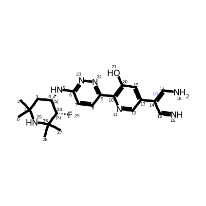 CC1(C)C[C@H](Nc2ccc(-c3ncc(/C(C=N)=C/N)cc3O)nn2)[C@H](F)C(C)(C)N1